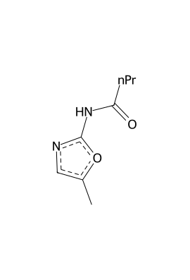 CCCC(=O)Nc1ncc(C)o1